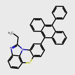 CCc1nc2cccc3c2n1-c1cc(-c2c4ccccc4c(-c4ccccc4)c4ccccc24)ccc1S3